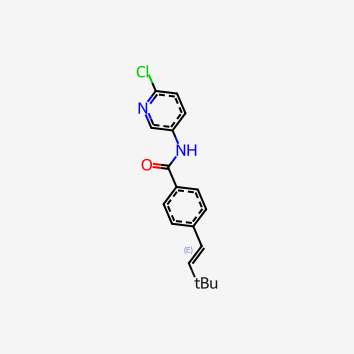 CC(C)(C)/C=C/c1ccc(C(=O)Nc2ccc(Cl)nc2)cc1